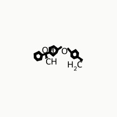 C#CC(O)(c1ccccc1)c1ccc(COCc2ccc(C=C)cc2)cc1